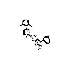 Cc1cccc(C)c1-c1ccnc(NCc2cc(-c3ccccc3)[nH]n2)n1